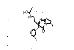 Cc1csc2nc(CCNC(=O)O)c(-c3cccc(F)c3)c(=O)n12